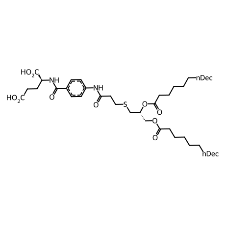 CCCCCCCCCCCCCCCC(=O)OC[C@H](CSCCC(=O)Nc1ccc(C(=O)N[C@@H](CCC(=O)O)C(=O)O)cc1)OC(=O)CCCCCCCCCCCCCCC